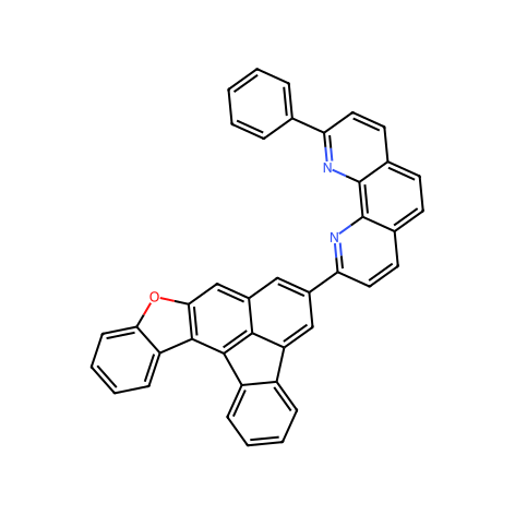 c1ccc(-c2ccc3ccc4ccc(-c5cc6c7c(c8c(cc7c5)oc5ccccc58)-c5ccccc5-6)nc4c3n2)cc1